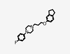 Fc1ccc(N2CCN(CCCOc3ccc4c(c3)CCC4)CC2)cc1